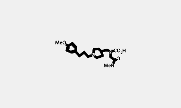 CNC(=O)CN(CC1CCN(CCCc2ccc(OC)cc2)CC1)C(=O)O